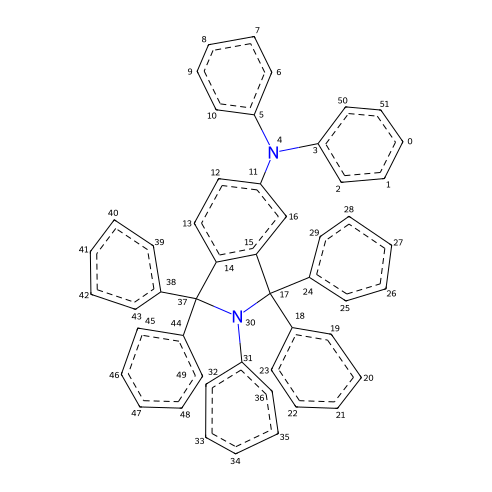 c1ccc(N(c2ccccc2)c2ccc3c(c2)C(c2ccccc2)(c2ccccc2)N(c2ccccc2)C3(c2ccccc2)c2ccccc2)cc1